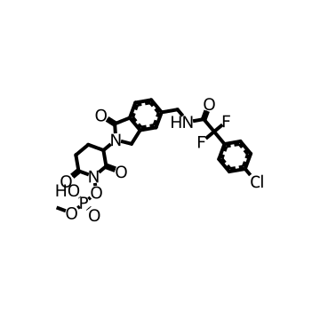 COP(=O)(O)ON1C(=O)CCC(N2Cc3cc(CNC(=O)C(F)(F)c4ccc(Cl)cc4)ccc3C2=O)C1=O